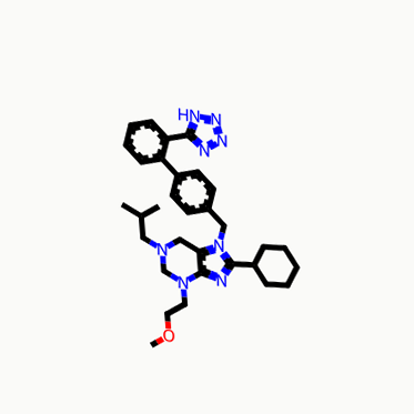 COCCN1CN(CC(C)C)Cc2c1nc(C1CCCCC1)n2Cc1ccc(-c2ccccc2-c2nnn[nH]2)cc1